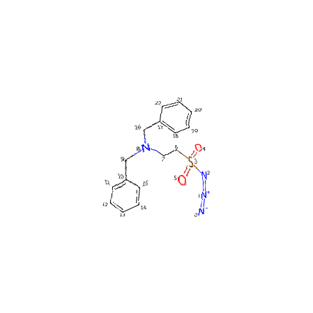 [N-]=[N+]=NS(=O)(=O)CCN(Cc1ccccc1)Cc1ccccc1